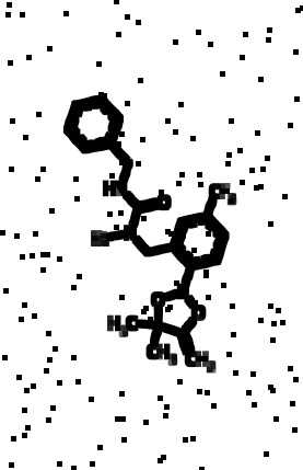 C=C1OB(c2ccc(C(F)(F)F)cc2CN(CC)C(=O)NCc2ccccc2)OC1(C)C